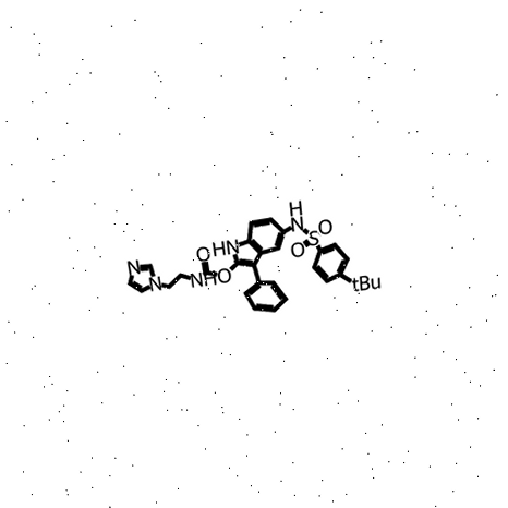 CC(C)(C)c1ccc(S(=O)(=O)Nc2ccc3[nH]c(OC(=O)NCCn4ccnc4)c(-c4ccccc4)c3c2)cc1